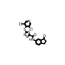 O=C(Nc1ccc2c(c1)C(=O)CC2)c1nnc(Sc2c(Cl)cncc2Cl)s1